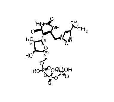 CC(C)c1cn(Cc2[nH]c(=O)[nH]c(=O)c2[C@@H]2O[C@H](COP(=O)(O)OP(=O)(O)OP(=O)(O)O)C(O)[C@@H]2O)nn1